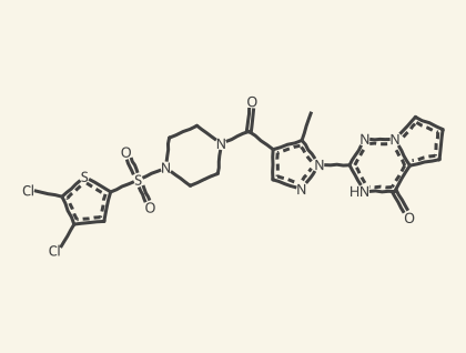 Cc1c(C(=O)N2CCN(S(=O)(=O)c3cc(Cl)c(Cl)s3)CC2)cnn1-c1nn2cccc2c(=O)[nH]1